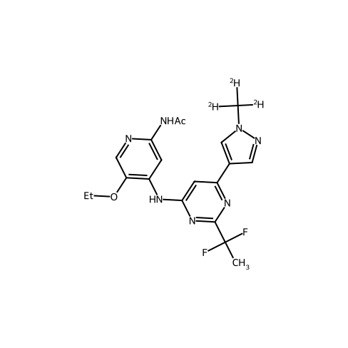 [2H]C([2H])([2H])n1cc(-c2cc(Nc3cc(NC(C)=O)ncc3OCC)nc(C(C)(F)F)n2)cn1